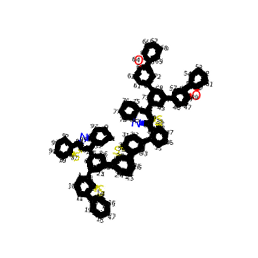 c1ccc2c(-c3cc(-c4cccc5c4sc4ccccc45)cc(-c4cccc5c4sc4ccc(-c6cccc7sc8c(-c9cc(-c%10ccc%11oc%12ccccc%12c%11c%10)cc(-c%10ccc%11oc%12ccccc%12c%11c%10)c9)c9ccccc9nc8c67)cc45)c3)c3sc4ccccc4c3nc2c1